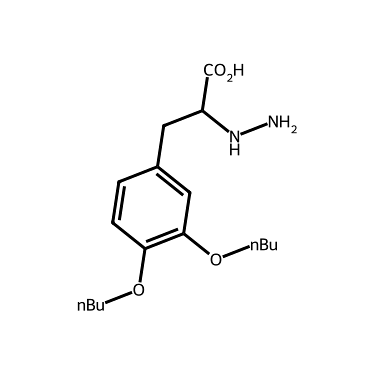 CCCCOc1ccc(CC(NN)C(=O)O)cc1OCCCC